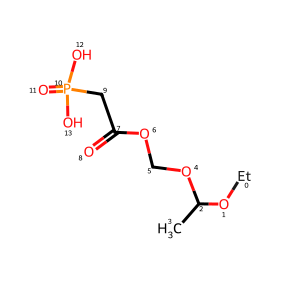 CCOC(C)OCOC(=O)CP(=O)(O)O